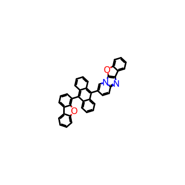 c1ccc2c(c1)oc1c(-c3c4ccccc4c(-c4ccc5nc6c7ccccc7oc6n5c4)c4ccccc34)cccc12